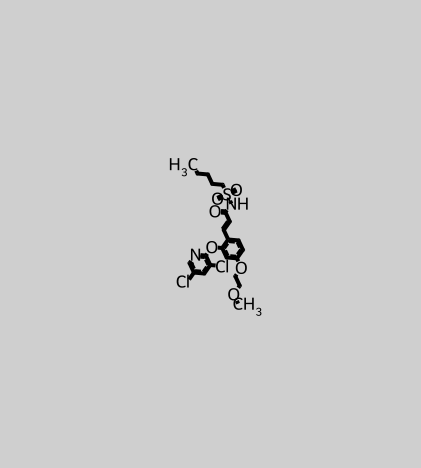 CCCCCS(=O)(=O)NC(=O)/C=C/c1ccc(OCCOC)cc1Oc1ncc(Cl)cc1Cl